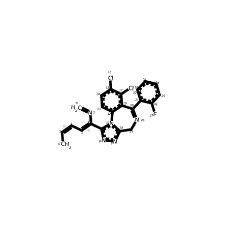 C=N/C(=C\C=C/C)c1nnc2n1-c1ccc(Cl)c(Cl)c1C(c1ccccc1F)=NC2